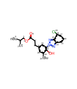 CCCCC(CC)COC(=O)CCc1cc(-n2nc3cccc(Cl)c3n2)c(O)c(C(C)(C)C)c1